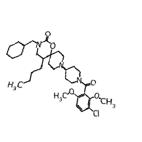 CCCCC1CN(CC2CCCCC2)C(=O)OC12CCN(C1CCN(C(=O)c3c(OC)ccc(Cl)c3OC)CC1)CC2